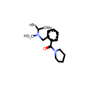 CCCCC(OC)N(Cc1ccccc1C(=O)N1CCCCC1)C(=O)O